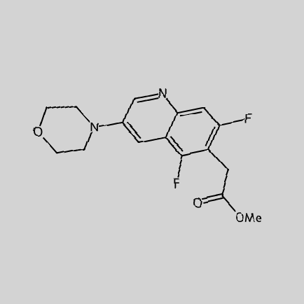 COC(=O)Cc1c(F)cc2ncc(N3CCOCC3)cc2c1F